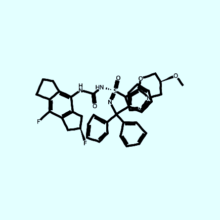 CO[C@@H]1COc2c([S@](=O)(=NC(c3ccccc3)(c3ccccc3)c3ccccc3)NC(=O)Nc3c4c(c(F)c5c3C[C@@H](F)C5)CCC4)cnn2C1